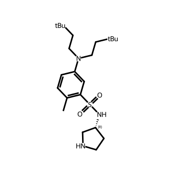 Cc1ccc(N(CCC(C)(C)C)CCC(C)(C)C)cc1S(=O)(=O)N[C@@H]1CCNC1